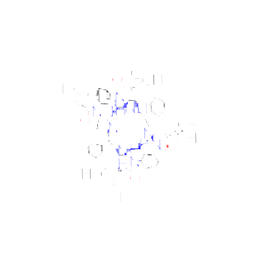 CC1(C)C[C@@H]1C(=O)Nc1cccc(NC(=O)[C@@H]2CC2(C)C)c1-c1c2nc(c(-c3ccccc3)c3ccc([nH]3)c(-c3c(NC(=O)[C@H]4CC4(C)C)cccc3NC(=O)[C@@H]3CC3(C)C)c3nc(c(-c4ccccc4)c4ccc1[nH]4)CC3)C=C2